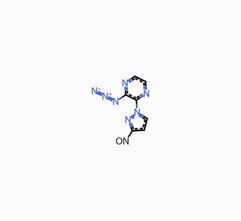 [N-]=[N+]=Nc1nccnc1-n1ccc(N=O)n1